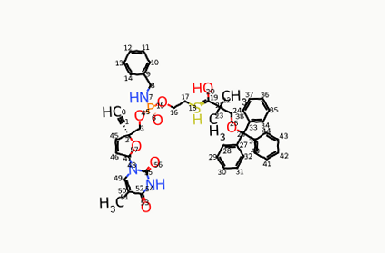 C#C[C@@]1(COP(=O)(NCc2ccccc2)OCC[SH]=C(O)C(C)(C)COC(c2ccccc2)(c2ccccc2)c2ccccc2)C=C[C@H](n2cc(C)c(=O)[nH]c2=O)O1